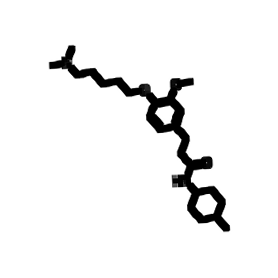 COc1cc(CCC(=O)NC2CCC(C)CC2)ccc1OCCCCCN(C)C